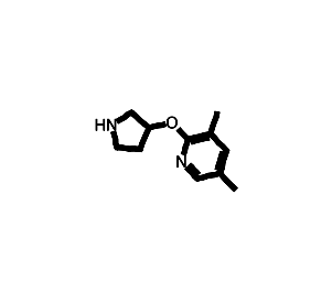 Cc1cnc(OC2CCNC2)c(C)c1